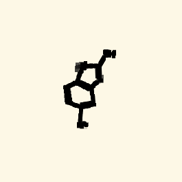 CCCc1ccc2[nH]c(S)nc2c1